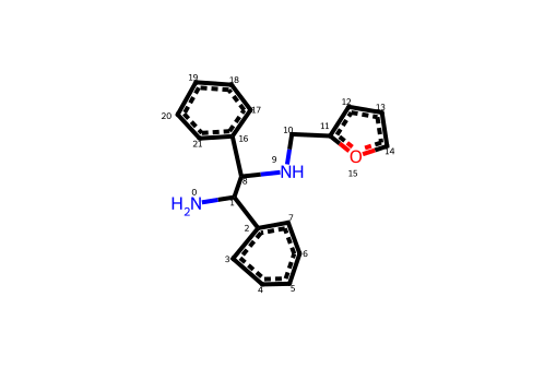 NC(c1ccccc1)C(NCc1ccco1)c1ccccc1